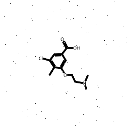 Cc1c(Cl)cc(C(=O)O)cc1OCCN(C)C